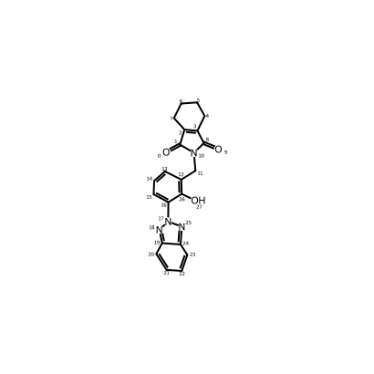 O=C1C2=C(CCCC2)C(=O)N1Cc1cccc(-n2nc3ccccc3n2)c1O